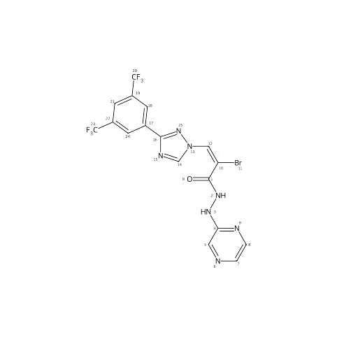 O=C(NNc1cnccn1)/C(Br)=C\n1cnc(-c2cc(C(F)(F)F)cc(C(F)(F)F)c2)n1